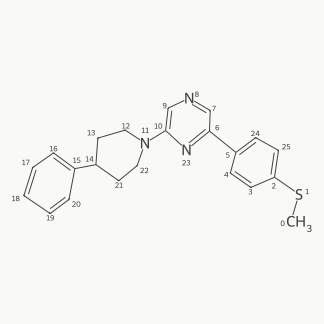 CSc1ccc(-c2cncc(N3CCC(c4ccccc4)CC3)n2)cc1